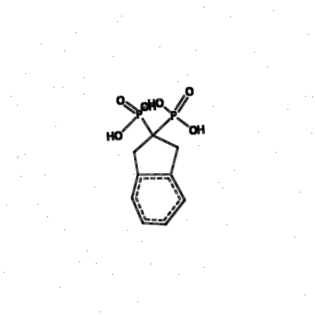 O=P(O)(O)C1(P(=O)(O)O)Cc2ccccc2C1